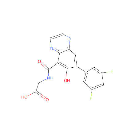 O=C(O)CNC(=O)c1c(O)c(-c2cc(F)cc(F)c2)cc2nccnc12